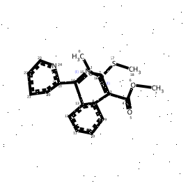 CO/C=C(/C(=O)OC)c1ccccc1/C(=N\OSC)c1ccccn1